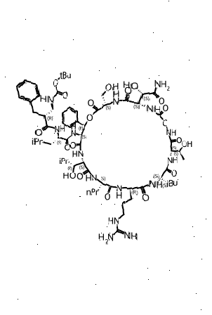 CCC[C@@H]1NC(=O)[C@H]([C@H](O)C(C)C)NC(=O)[C@@H](NC(=O)[C@H](CC(C)C)NC(=O)[C@@H](CNC(=O)OC(C)(C)C)Cc2ccccc2)[C@@H](c2ccccc2)OC(=O)[C@H](CO)NC(=O)[C@H]([C@H](O)C(N)=O)NC(=O)CNC(=O)[C@H]([C@H](C)O)NC(=O)[C@H]([C@@H](C)CC)NC(=O)[C@@H](CCCNC(=N)N)NC1=O